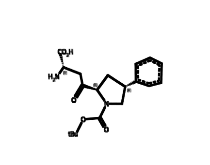 CC(C)(C)OC(=O)N1C[C@@H](c2ccccc2)C[C@@H]1C(=O)C[C@H](N)C(=O)O